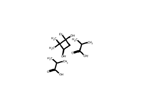 CC(C)C(=O)O.CC(C)C(=O)O.CCC1(O)CC(O)C1(C)C